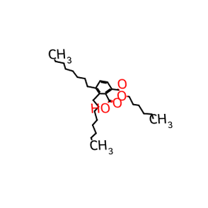 CCCCCCCCc1ccc(C(=O)OCCCCCC)c(C(=O)O)c1CCCCCCCC